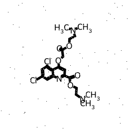 CN(C)CCOC(=O)COc1cc(C(=O)OCCN(C)C)nc2cc(Cl)cc(Cl)c12